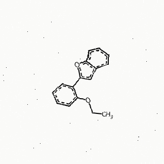 CCOc1ccccc1-c1cc2ccccc2o1